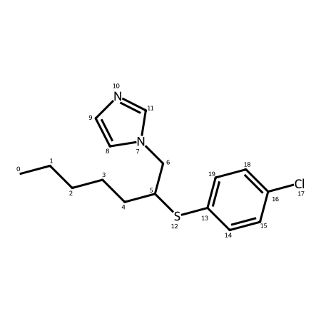 CCCCCC(Cn1ccnc1)Sc1ccc(Cl)cc1